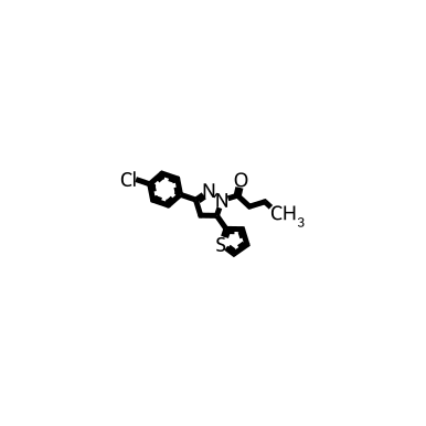 CCCC(=O)N1N=C(c2ccc(Cl)cc2)CC1c1cccs1